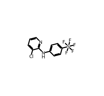 FS(F)(F)(F)(F)c1ccc(Nc2ncccc2Cl)cc1